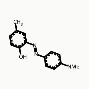 CNc1ccc(N=Nc2cc(C)ccc2O)cc1